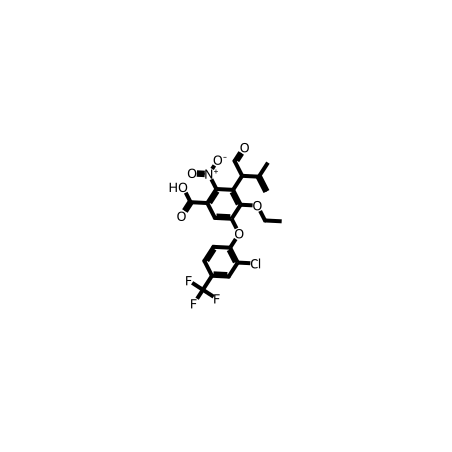 C=C(C)C(C=O)c1c(OCC)c(Oc2ccc(C(F)(F)F)cc2Cl)cc(C(=O)O)c1[N+](=O)[O-]